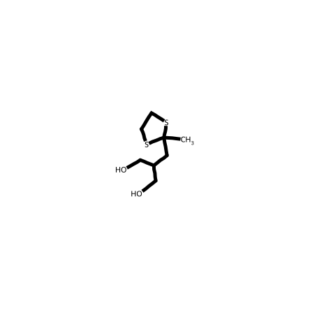 CC1(CC(CO)CO)SCCS1